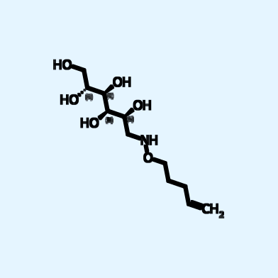 C=CCCCONC[C@H](O)[C@@H](O)[C@H](O)[C@H](O)CO